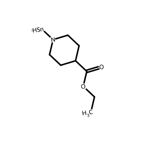 CCOC(=O)C1CC[N]([SnH])CC1